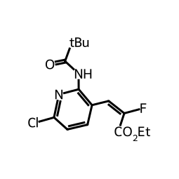 CCOC(=O)/C(F)=C\c1ccc(Cl)nc1NC(=O)C(C)(C)C